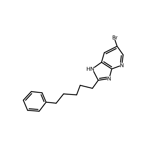 Brc1cnc2nc(CCCCCc3ccccc3)[nH]c2c1